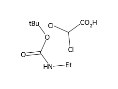 CCNC(=O)OC(C)(C)C.O=C(O)C(Cl)Cl